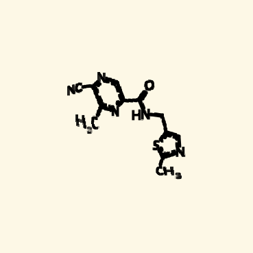 Cc1ncc(CNC(=O)c2cnc(C#N)c(C)n2)s1